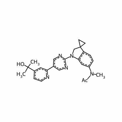 CC(=O)N(C)c1ccc2c(c1)N(c1ncc(-c3cc(C(C)(C)O)ccn3)cn1)CC21CC1